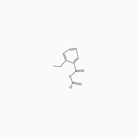 CCc1ccccc1C(=O)O[N+](=O)[O-]